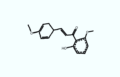 COC1=CCC(C=CC(=O)c2c(O)cccc2OC)C=C1